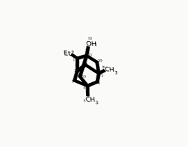 CCC1C2CC3(C)CC(C)(C2)CC1(O)C3